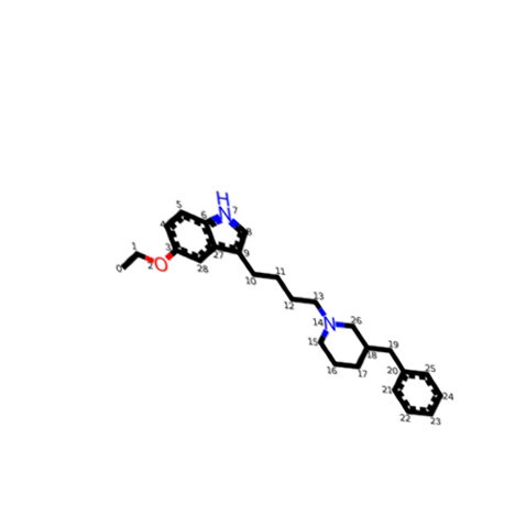 CCOc1ccc2[nH]cc(CCCCN3CCCC(Cc4ccccc4)C3)c2c1